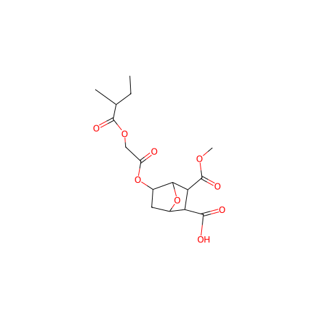 CCC(C)C(=O)OCC(=O)OC1CC2OC1C(C(=O)OC)C2C(=O)O